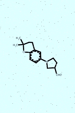 CC1(C)CCc2cc(N3CCC(C=O)C3)ccc2O1